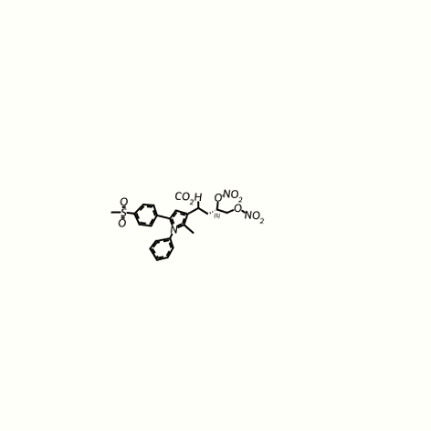 Cc1c(C(C[C@@H](CO[N+](=O)[O-])O[N+](=O)[O-])C(=O)O)cc(-c2ccc(S(C)(=O)=O)cc2)n1-c1ccccc1